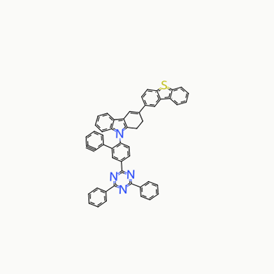 c1cccc(-c2cc(-c3nc(-c4ccccc4)nc(-c4ccccc4)n3)ccc2-n2c3c(c4ccccc42)C=C(c2ccc4sc5ccccc5c4c2)CC3)c#1